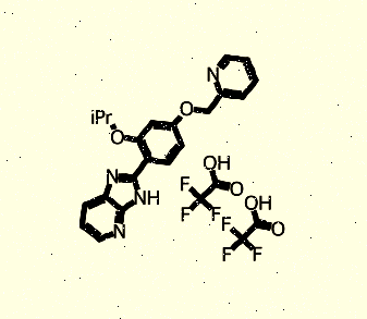 CC(C)Oc1cc(OCc2ccccn2)ccc1-c1nc2cccnc2[nH]1.O=C(O)C(F)(F)F.O=C(O)C(F)(F)F